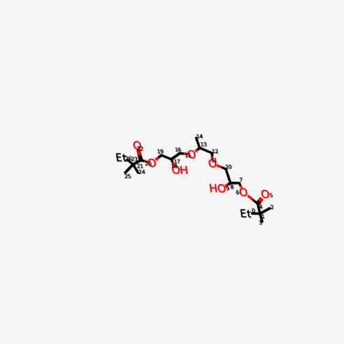 CCC(C)(C)C(=O)OCC(O)COCC(C)OCC(O)COC(=O)C(C)(C)CC